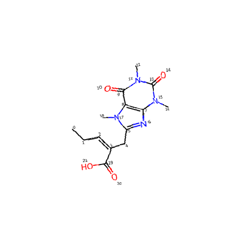 CCC=C(Cc1nc2c(c(=O)n(C)c(=O)n2C)n1C)C(=O)O